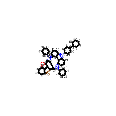 c1ccc(-c2ccc(-n3c4cccc5c4c4c(cccc43)n(-c3ccccc3)c3cc(c4oc6cccc7sc3c4c67)n5-c3ccccc3)cc2)cc1